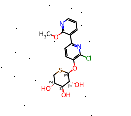 COc1ncccc1-c1ccc(O[C@@H]2SC[C@@H](O)[C@H](O)[C@H]2O)c(Cl)n1